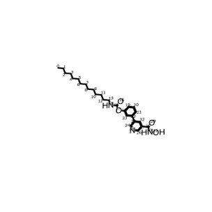 CCCCCCCCCCCCCCNC(=O)Oc1cccc(-c2cncc(C(=O)NO)c2)c1